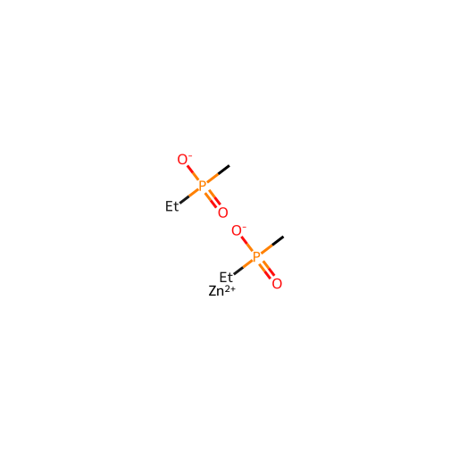 CCP(C)(=O)[O-].CCP(C)(=O)[O-].[Zn+2]